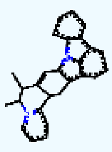 CC1C2=Cc3c(c4cccc5c6ccccc6n3c45)CC2c2cccc[n+]2C1C